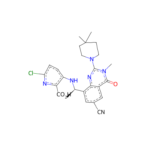 C[C@@H](Nc1ccc(Cl)nc1C(=O)O)c1cc(C#N)cc2c(=O)n(C)c(N3CCC(C)(C)CC3)nc12